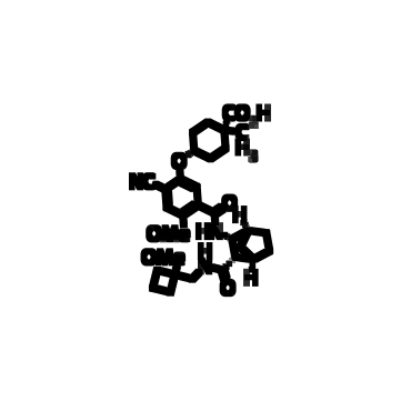 COc1cc(C#N)c(O[C@H]2CC[C@@](C)(C(=O)O)CC2)cc1C(=O)N[C@@H]1[C@H]2CC[C@H](C2)[C@@H]1C(=O)NCC1(OC)CCC1